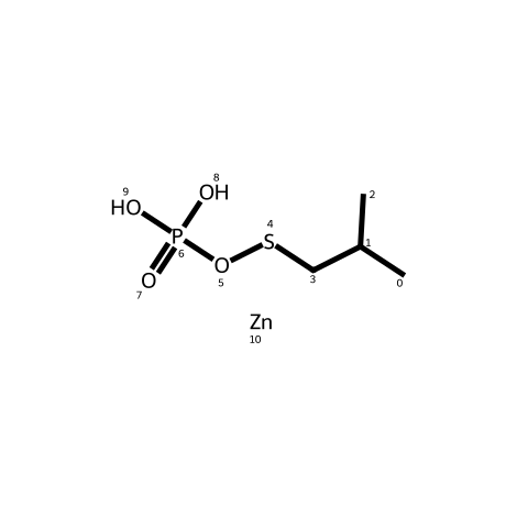 CC(C)CSOP(=O)(O)O.[Zn]